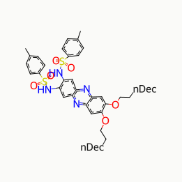 CCCCCCCCCCCCOc1cc2nc3cc(NS(=O)(=O)c4ccc(C)cc4)c(NS(=O)(=O)c4ccc(C)cc4)cc3nc2cc1OCCCCCCCCCCCC